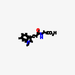 Cn1cc(CCC(=O)NCC(=O)O)c2ccccc21